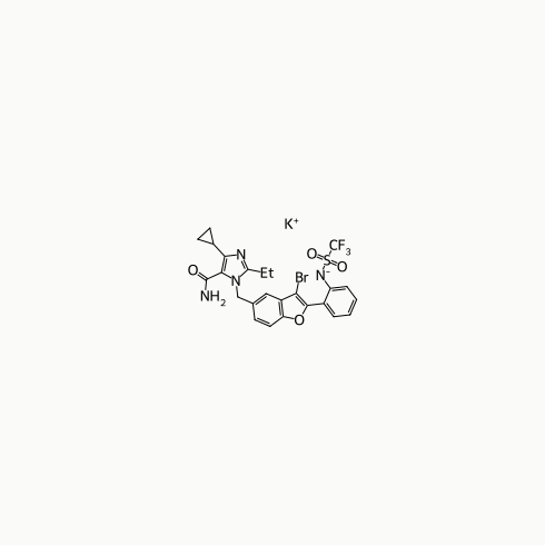 CCc1nc(C2CC2)c(C(N)=O)n1Cc1ccc2oc(-c3ccccc3[N-]S(=O)(=O)C(F)(F)F)c(Br)c2c1.[K+]